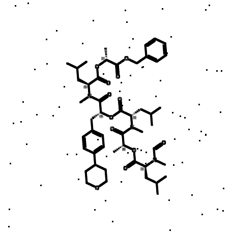 CC(C)C[C@@H](C(=O)O[C@H](C)C(=O)N(C)[C@@H](CC(C)C)C(=O)O[C@H](Cc1ccc(C2CCOCC2)cc1)C(=O)N(C)[C@@H](CC(C)C)C(=O)O[C@H](C)C(=O)OCc1ccccc1)N(C)C=O